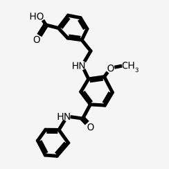 COc1ccc(C(=O)Nc2ccccc2)cc1NCc1cccc(C(=O)O)c1